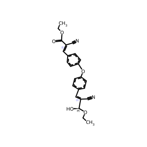 CCOC(=O)/C(C#N)=C/c1ccc(Oc2ccc(/C=C(\C#N)[C@H](O)OCC)cc2)cc1